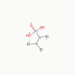 CC[C](CC)C(CC)P(=O)(O)O